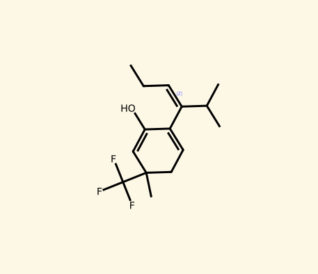 CC/C=C(\C1=CCC(C)(C(F)(F)F)C=C1O)C(C)C